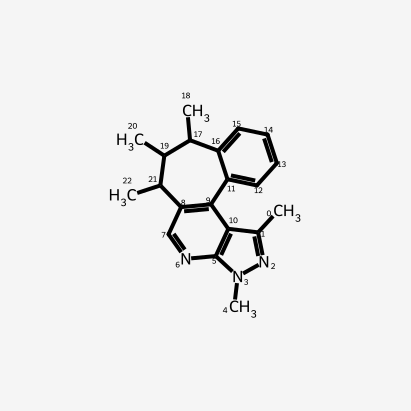 Cc1nn(C)c2ncc3c(c12)-c1ccccc1C(C)C(C)C3C